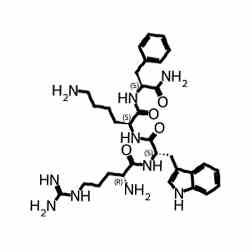 N=C(N)NCCC[C@@H](N)C(=O)N[C@@H](Cc1c[nH]c2ccccc12)C(=O)N[C@@H](CCCCN)C(=O)N[C@@H](Cc1ccccc1)C(N)=O